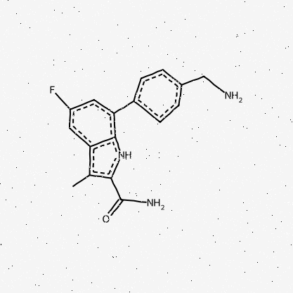 Cc1c(C(N)=O)[nH]c2c(-c3ccc(CN)cc3)cc(F)cc12